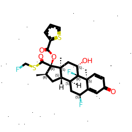 C[C@@H]1C[C@H]2[C@@H]3C[C@H](F)C4=CC(=O)C=C[C@]4(C)[C@@]3(F)[C@@H](O)C[C@]2(C)[C@@]1(OC(=O)c1cccs1)C(=O)SCF